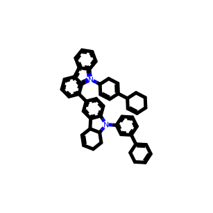 C1=CCCC(c2cccc(N3c4ccc(-c5cccc6c7ccccc7n(C7C=CC(C8C=CCCC8)=CC7)c56)cc4C4C=CCCC43)c2)=C1